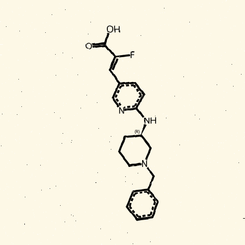 O=C(O)C(F)=Cc1ccc(N[C@@H]2CCCN(Cc3ccccc3)C2)nc1